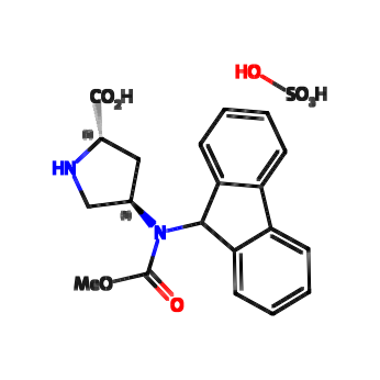 COC(=O)N(C1c2ccccc2-c2ccccc21)[C@H]1CN[C@H](C(=O)O)C1.O=S(=O)(O)O